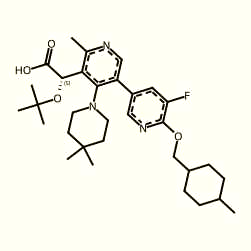 Cc1ncc(-c2cnc(OCC3CCC(C)CC3)c(F)c2)c(N2CCC(C)(C)CC2)c1[C@H](OC(C)(C)C)C(=O)O